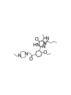 CCCc1nc(C)c2c(=O)[nH]c(-c3cc(C(=O)CN4CCN(CC)CC4)ccc3OCC)nn12